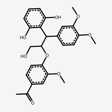 COc1ccc(C(c2c(O)cccc2O)C(CO)Oc2ccc(C(C)=O)cc2OC)cc1OC